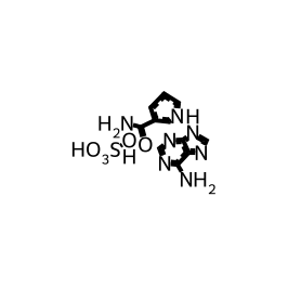 NC(=O)c1cccnc1.Nc1ncnc2[nH]cnc12.O=S(=O)(O)O